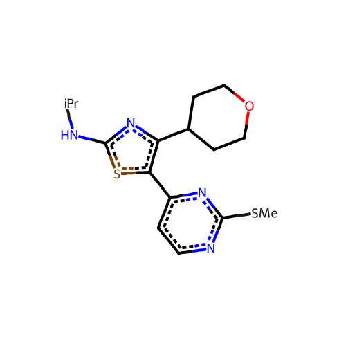 CSc1nccc(-c2sc(NC(C)C)nc2C2CCOCC2)n1